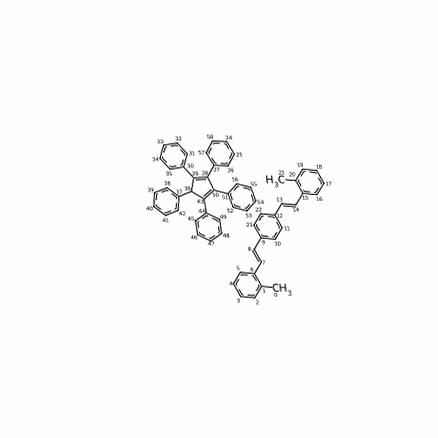 Cc1ccccc1C=Cc1ccc(C=Cc2ccccc2C)cc1.c1ccc(C2=C(c3ccccc3)C(c3ccccc3)C(c3ccccc3)=C2c2ccccc2)cc1